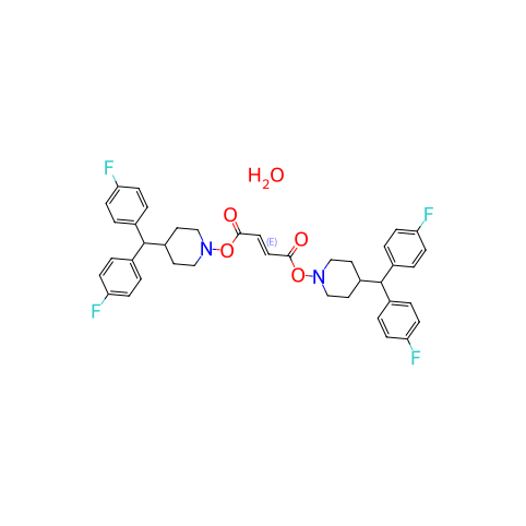 O.O=C(/C=C/C(=O)ON1CCC(C(c2ccc(F)cc2)c2ccc(F)cc2)CC1)ON1CCC(C(c2ccc(F)cc2)c2ccc(F)cc2)CC1